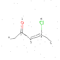 CC(=O)C=C(C)Cl